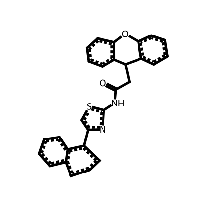 O=C(CC1c2ccccc2Oc2ccccc21)Nc1nc(-c2cccc3ccccc23)cs1